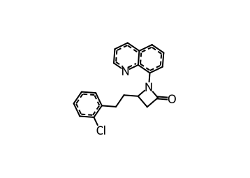 O=C1CC(CCc2ccccc2Cl)N1c1cccc2cccnc12